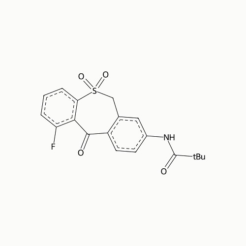 CC(C)(C)C(=O)Nc1ccc2c(c1)CS(=O)(=O)c1cccc(F)c1C2=O